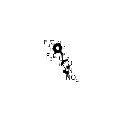 O=[N+]([O-])c1cn2c(n1)OC[C@H](OCc1ccc(C(F)(F)F)cc1C(F)(F)F)C2